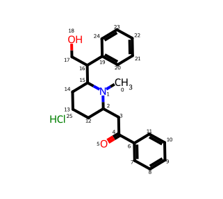 CN1C(CC(=O)c2ccccc2)CCCC1C(CO)c1ccccc1.Cl